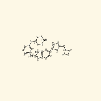 c1cc(CN2CCNCC2)cc(Nc2nc3ccc(-c4nnc(CC5CCC5)o4)cc3[nH]2)n1